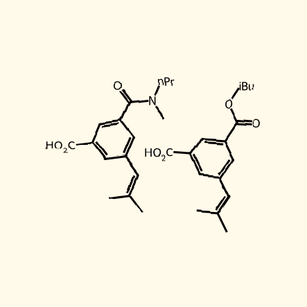 CCC(C)OC(=O)c1cc(C=C(C)C)cc(C(=O)O)c1.CCCN(C)C(=O)c1cc(C=C(C)C)cc(C(=O)O)c1